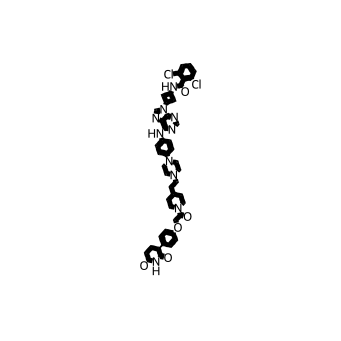 O=C1CC[C@@H](c2ccc(OCC(=O)N3CCC(CCN4CCN(c5ccc(Nc6ncnc7c6ncn7C6CC(NC(=O)c7c(Cl)cccc7Cl)C6)cc5)CC4)CC3)cc2)C(=O)N1